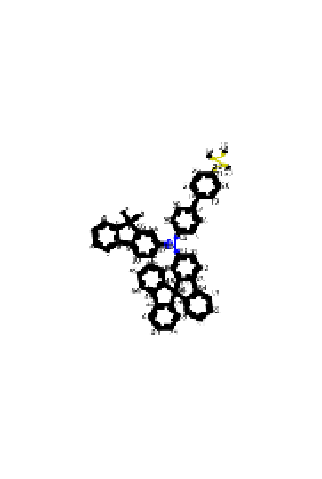 CC1(C)c2ccccc2-c2ccc(N(c3ccc(-c4ccc(S(C)(C)C)cc4)cc3)c3ccc4c(c3)C3(c5ccccc5-c5ccccc53)c3ccccc3-4)cc21